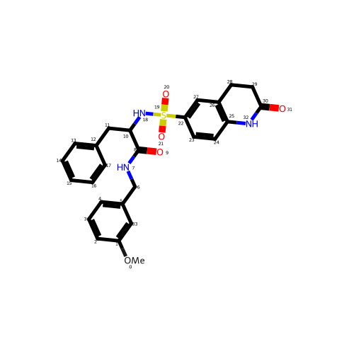 COc1cccc(CNC(=O)C(Cc2ccccc2)NS(=O)(=O)c2ccc3c(c2)CCC(=O)N3)c1